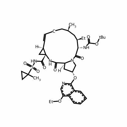 CCOc1cnc(O[C@@H]2C[C@H]3C(=O)N[C@]4(C(=O)NS(=O)(=O)C5(C)CC5)C[C@H]4/C=C\CC[C@@H](C)C[C@@H](CC)[C@H](NC(=O)OC(C)(C)C)C(=O)N3C2)c2ccccc12